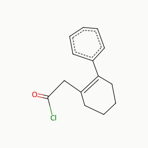 O=C(Cl)CC1=C(c2ccccc2)CCCC1